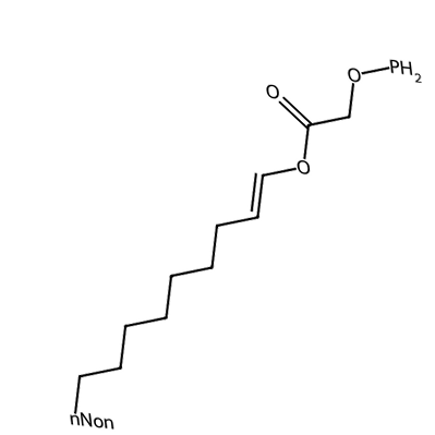 CCCCCCCCCCCCCCCCC=COC(=O)COP